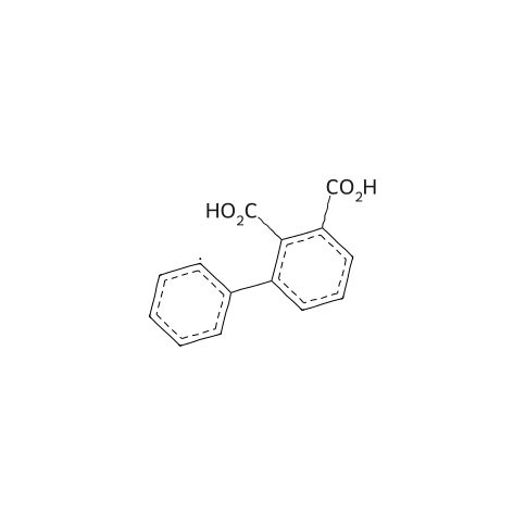 O=C(O)c1cccc(-c2[c]cccc2)c1C(=O)O